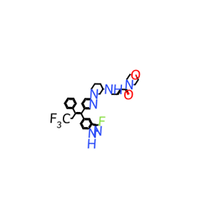 O=C(/C=C/CN[C@H]1CCCN(c2ccc(/C(=C(/CC(F)(F)F)c3ccccc3)c3ccc4[nH]nc(F)c4c3)cn2)C1)N1CCOCC1